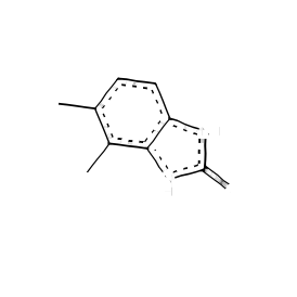 Cc1ccc2[nH]c(=O)[nH]c2c1C.Cl